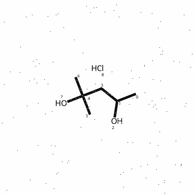 CC(O)CC(C)(C)O.Cl